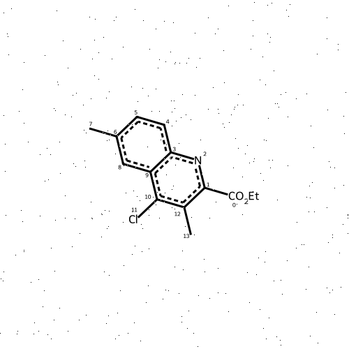 CCOC(=O)c1nc2ccc(C)cc2c(Cl)c1C